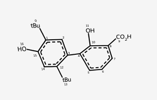 CC(C)(C)c1cc(-c2cccc(C(=O)O)c2O)c(C(C)(C)C)cc1O